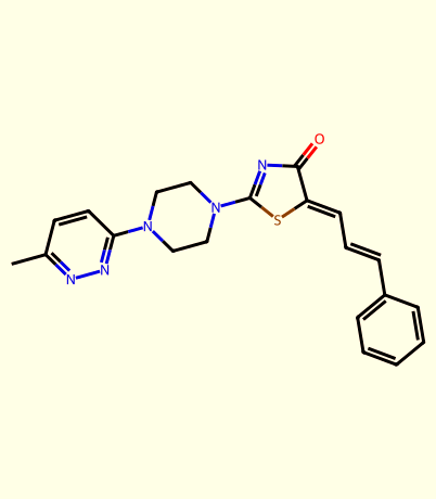 Cc1ccc(N2CCN(C3=NC(=O)C(=CC=Cc4ccccc4)S3)CC2)nn1